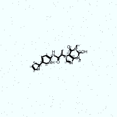 CC(C(=O)NC1=CC=C(c2nccs2)CN1)n1cnc2c1C(=O)N(C)C(O)N2C